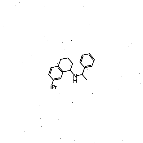 CC(C)c1ccc2c(c1)C(NC(C)c1ccccc1)CCC2